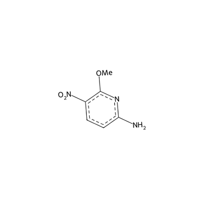 COc1nc(N)ccc1[N+](=O)[O-]